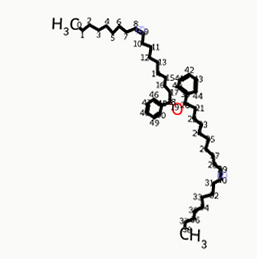 CCCCCCCC/C=C\CCCCCCCCC(OC(CCCCCCCC/C=C\CCCCCCCC)c1ccccc1)c1ccccc1